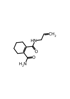 C=CCNC(=O)C1=C(C(N)=O)CCCC1